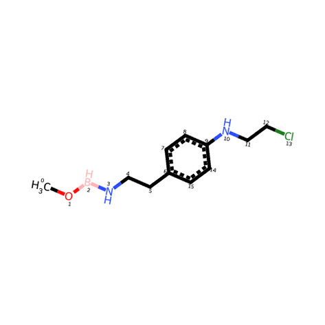 COBNCCc1ccc(NCCCl)cc1